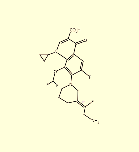 NC/C(F)=C1\CCCN(c2c(F)cc3c(=O)c(C(=O)O)cn(C4CC4)c3c2OC(F)F)C1